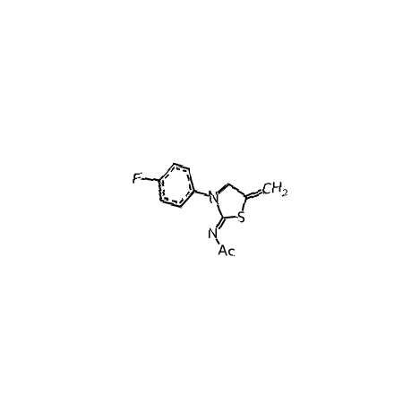 C=C1CN(c2ccc(F)cc2)C(=NC(C)=O)S1